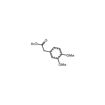 [CH2]C(=O)OC(=O)Cc1ccc(OC)c(OC)c1